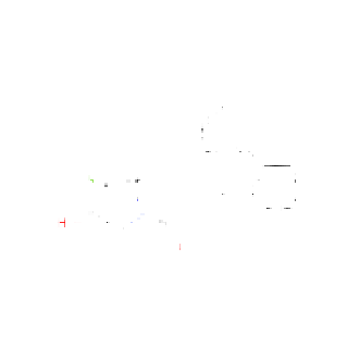 O=C(O)[C@@H]1[C@H](F)[C@@H](O)CN1C(=O)OCC1c2ccccc2-c2ccccc21